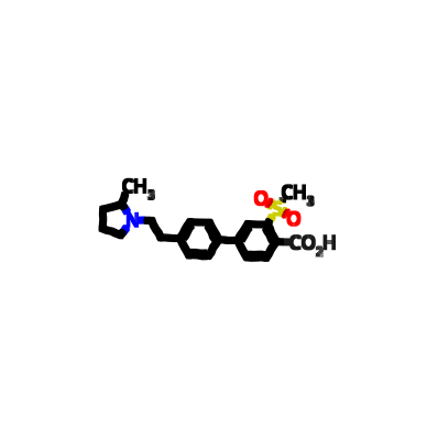 CC1CCCN1CCc1ccc(-c2ccc(C(=O)O)c(S(C)(=O)=O)c2)cc1